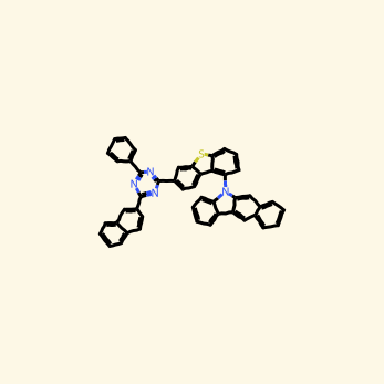 c1ccc(-c2nc(-c3ccc4ccccc4c3)nc(-c3ccc4c(c3)sc3cccc(-n5c6ccccc6c6cc7ccccc7cc65)c34)n2)cc1